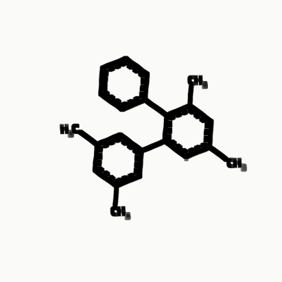 Cc1[c]c(-c2cc(C)cc(C)c2)c(-c2ccccc2)c(C)c1